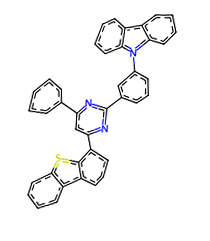 c1ccc(-c2cc(-c3cccc4c3sc3ccccc34)nc(-c3cccc(-n4c5ccccc5c5ccccc54)c3)n2)cc1